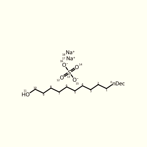 CCCCCCCCCCCCCCCCCCCCO.O=S(=O)([O-])[O-].[Na+].[Na+]